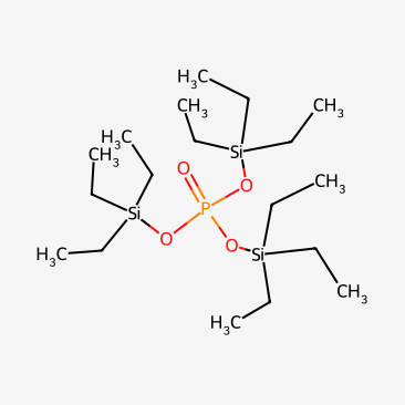 CC[Si](CC)(CC)OP(=O)(O[Si](CC)(CC)CC)O[Si](CC)(CC)CC